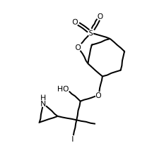 CC(I)(C1CN1)C(O)OC1CCC2CC1OS2(=O)=O